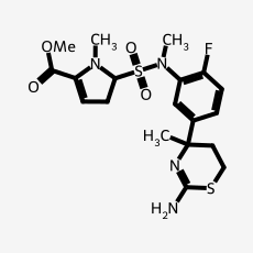 COC(=O)C1=CCC(S(=O)(=O)N(C)c2cc(C3(C)CCSC(N)=N3)ccc2F)N1C